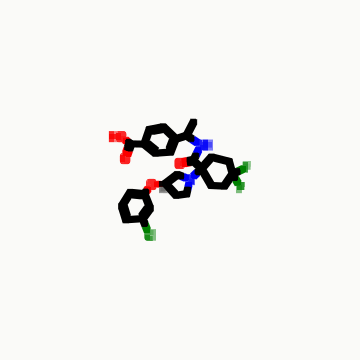 CC(NC(=O)C1(N2CC[C@@H](Oc3cccc(Cl)c3)C2)CCC(F)(F)CC1)c1ccc(C(=O)O)cc1